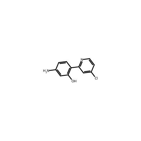 Nc1ccc(-c2cc(Cl)ccn2)c(O)c1